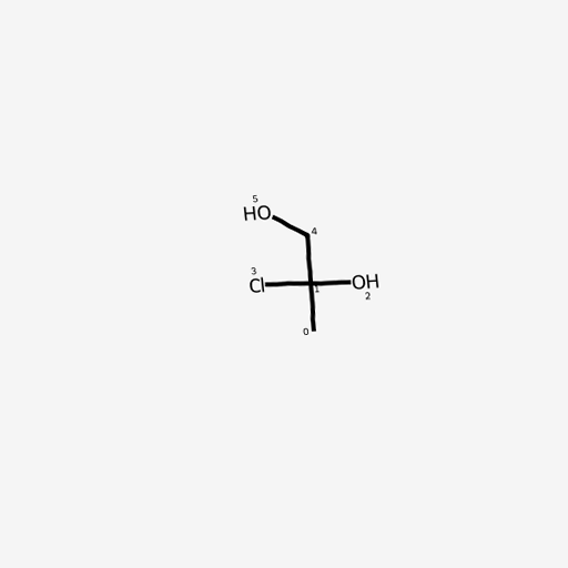 CC(O)(Cl)CO